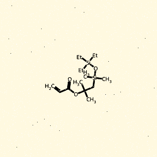 C=CC(=O)OC(C)(C)C[Si](C)(C)O[Si](CC)(CC)CC